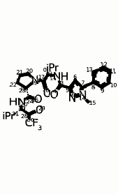 CC(C)[C@H](NC(=O)c1cc(-c2ccccc2)n(C)n1)C(=O)N1CCC[C@H]1C(=O)N[C@H](C(=O)C(F)(F)F)C(C)C